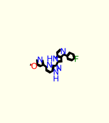 COc1cncc(-c2ccc3[nH]nc(-c4cc5c(-c6ccc(F)cc6)nccc5[nH]4)c3n2)c1